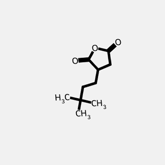 CC(C)(C)CCC1CC(=O)OC1=O